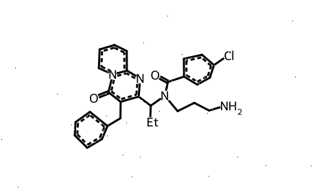 CCC(c1nc2ccccn2c(=O)c1Cc1ccccc1)N(CCCN)C(=O)c1ccc(Cl)cc1